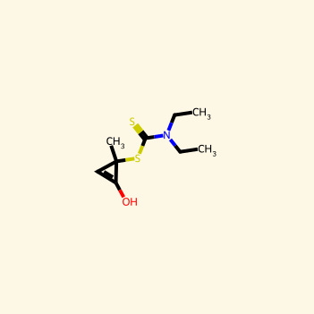 CCN(CC)C(=S)SC1(C)C=C1O